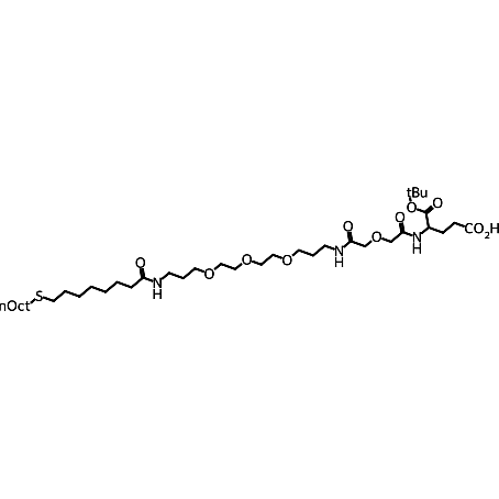 CCCCCCCCSCCCCCCCC(=O)NCCCOCCOCCOCCCNC(=O)COCC(=O)NC(CCC(=O)O)C(=O)OC(C)(C)C